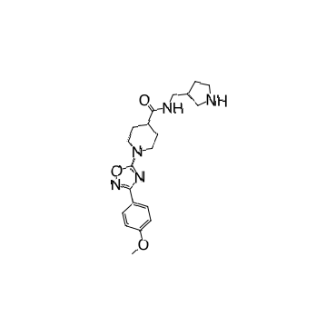 COc1ccc(-c2noc(N3CCC(C(=O)NCC4CCNC4)CC3)n2)cc1